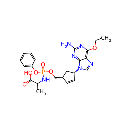 CCOc1nc(N)nc2c1ncn2[C@H]1C=C[C@@H](CO[P@](=O)(NC(C)C(=O)O)Oc2ccccc2)C1